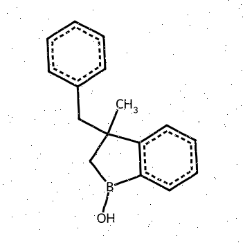 CC1(Cc2ccccc2)CB(O)c2ccccc21